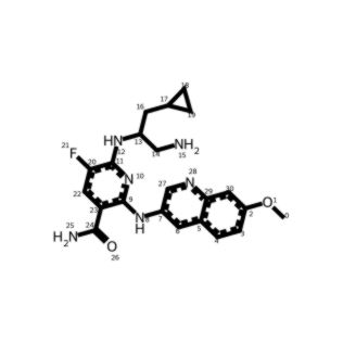 COc1ccc2cc(Nc3nc(NC(CN)CC4CC4)c(F)cc3C(N)=O)cnc2c1